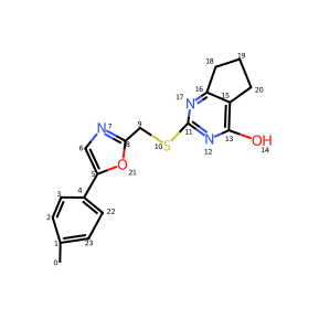 Cc1ccc(-c2cnc(CSc3nc(O)c4c(n3)CCC4)o2)cc1